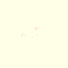 CCC(CC)OCC(C)OCC(C)O